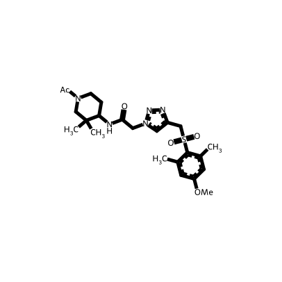 COc1cc(C)c(S(=O)(=O)Cc2cn(CC(=O)NC3CCN(C(C)=O)CC3(C)C)nn2)c(C)c1